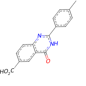 Cc1ccc(-c2nc3ccc(C(=O)O)cc3c(=O)[nH]2)cc1